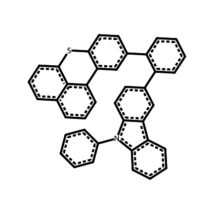 c1ccc(-n2c3ccccc3c3cc(-c4ccccc4-c4ccc5c(c4)-c4cccc6cccc(c46)S5)ccc32)cc1